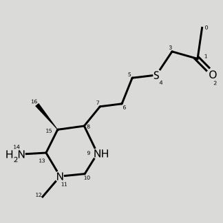 CC(=O)CSCCCC1NCN(C)C(N)[C@H]1C